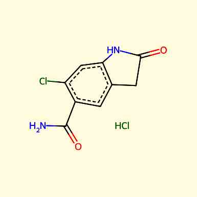 Cl.NC(=O)c1cc2c(cc1Cl)NC(=O)C2